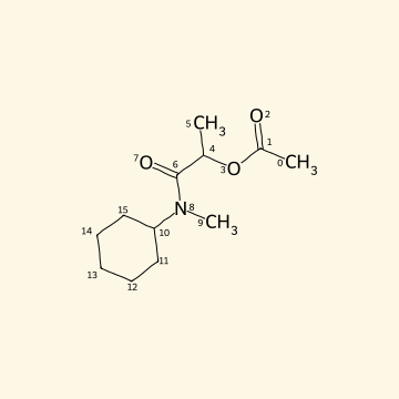 CC(=O)OC(C)C(=O)N(C)C1CCCCC1